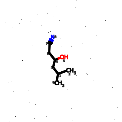 CC(C)CC(O)CC#N